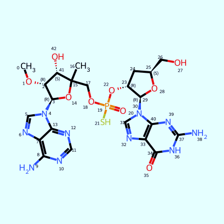 CO[C@H]1[C@H](n2cnc3c(N)ncnc32)OC(C)(COP(=O)(S)O[C@@H]2C[C@@H](CO)O[C@H]2n2cnc3c(=O)[nH]c(N)nc32)[C@H]1O